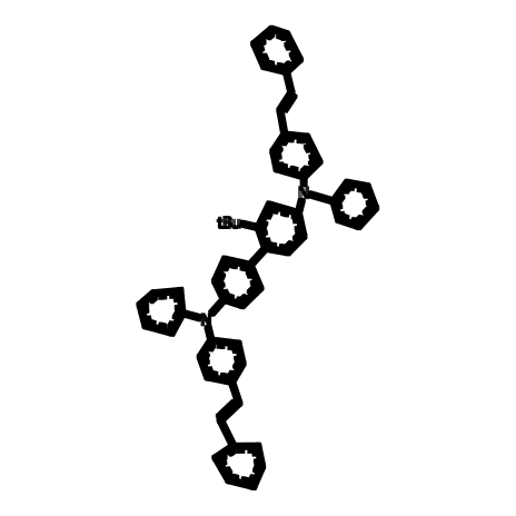 CC(C)(C)c1cc(N(c2ccccc2)c2ccc(C=Cc3ccccc3)cc2)ccc1-c1ccc(N(c2ccccc2)c2ccc(C=Cc3ccccc3)cc2)cc1